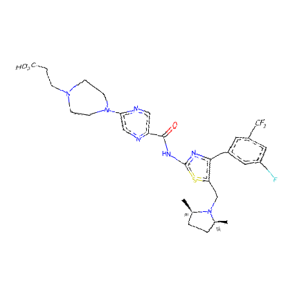 C[C@@H]1CC[C@H](C)N1Cc1sc(NC(=O)c2cnc(N3CCN(CCC(=O)O)CC3)cn2)nc1-c1cc(F)cc(C(F)(F)F)c1